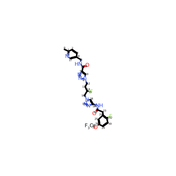 Cc1ccc(CNC(=O)c2cn(CCC(F)Cn3cc(NC(=O)Cc4cc(OC(F)(F)F)ccc4F)nn3)nn2)cn1